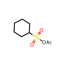 CC(=O)OS(=O)(=O)C1CCCCC1